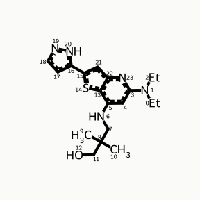 CCN(CC)c1cc(NCC(C)(C)CO)c2sc(-c3ccn[nH]3)cc2n1